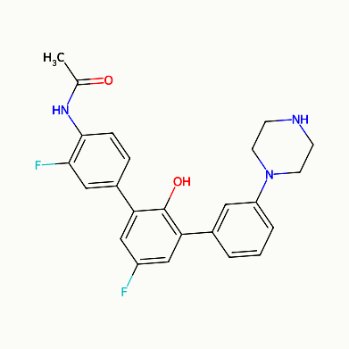 CC(=O)Nc1ccc(-c2cc(F)cc(-c3cccc(N4CCNCC4)c3)c2O)cc1F